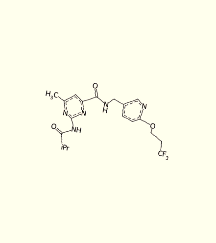 Cc1cc(C(=O)NCc2ccc(OCCC(F)(F)F)nc2)nc(NC(=O)C(C)C)n1